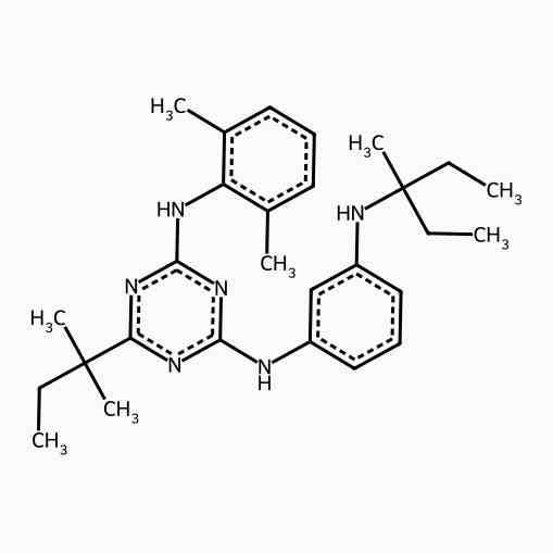 CCC(C)(CC)Nc1cccc(Nc2nc(Nc3c(C)cccc3C)nc(C(C)(C)CC)n2)c1